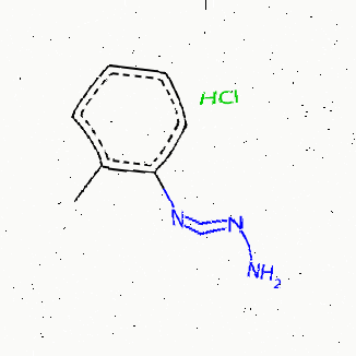 Cc1ccccc1N=NN.Cl